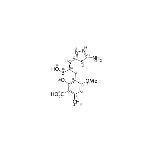 COc1cc(C)c(C(=O)O)c2c1C[C@H](Sc1nnc(N)s1)B(O)O2